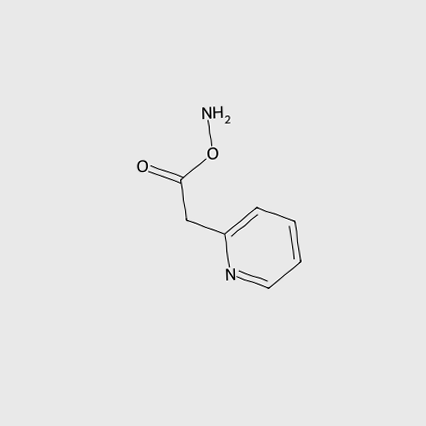 NOC(=O)Cc1ccccn1